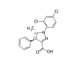 C[C@H]1[C@H](c2ccccc2)C(C(=O)O)=NN1c1ccc(Cl)cc1Cl